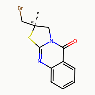 C[C@]1(CBr)Cn2c(nc3ccccc3c2=O)S1